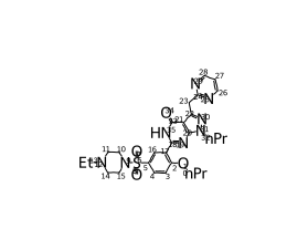 CCCOc1ccc(S(=O)(=O)N2CCN(CC)CC2)cc1-c1nc2c(c(Cc3ncccn3)nn2CCC)c(=O)[nH]1